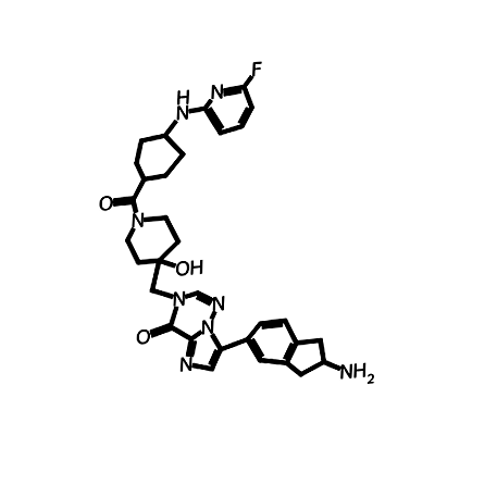 NC1Cc2ccc(-c3cnc4c(=O)n(CC5(O)CCN(C(=O)C6CCC(Nc7cccc(F)n7)CC6)CC5)cnn34)cc2C1